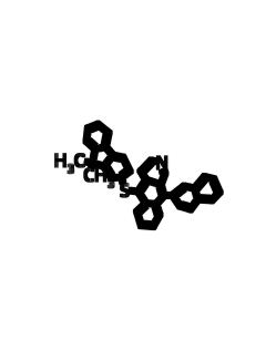 CC1(C)c2ccccc2-c2ccc(Sc3c4ccccc4c(-c4ccc5ccccc5c4)c4cnccc34)cc21